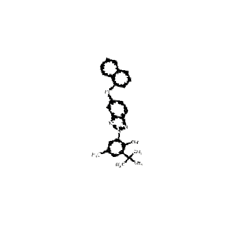 Cc1cc(-n2nc3ccc(Nc4cccc5ccccc45)cc3n2)c(O)c(C(C)(C)C)c1